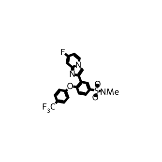 CNS(=O)(=O)c1ccc(Oc2ccc(C(F)(F)F)cc2)c(-c2cn3ccc(F)cc3n2)c1